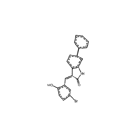 O=C1Nc2cc(-c3ccccc3)ccc2C1=Cc1cc(Br)ccc1O